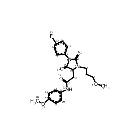 COCCCN1C(=S)N(c2ccc(F)cc2)C(=O)C1CC(=O)Nc1ccc(OC)cc1